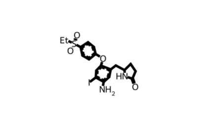 CCS(=O)(=O)c1ccc(Oc2cc(I)c(N)cc2CC2CCC(=O)N2)cc1